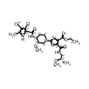 CCOC(=O)c1sc(N2CC[C@@H](NC(=O)c3[nH]c(C)c(Cl)c3Cl)[C@@H](OC)C2)nc1C(=O)NC[C@H](C)OC